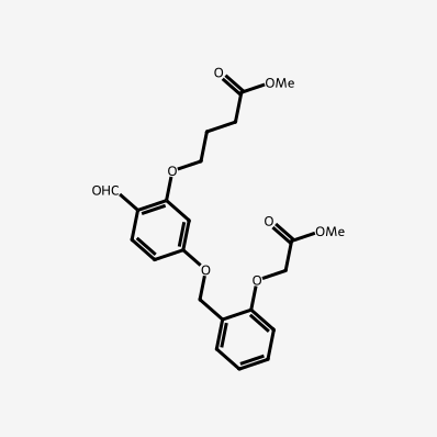 COC(=O)CCCOc1cc(OCc2ccccc2OCC(=O)OC)ccc1C=O